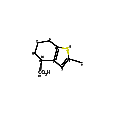 Cc1cc2c(s1)CCC[C@@H]2C(=O)O